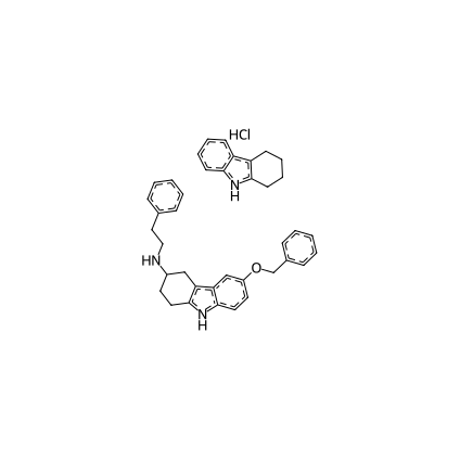 Cl.c1ccc(CCNC2CCc3[nH]c4ccc(OCc5ccccc5)cc4c3C2)cc1.c1ccc2c3c([nH]c2c1)CCCC3